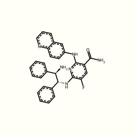 NC(=O)c1cc(F)c(N[C@H](c2ccccc2)[C@H](N)c2ccccc2)nc1Nc1ccc2ncccc2c1